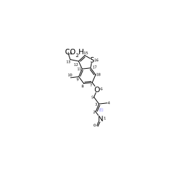 C=N/C=C(\C)COc1cc(C)c2c(CC(=O)O)csc2c1